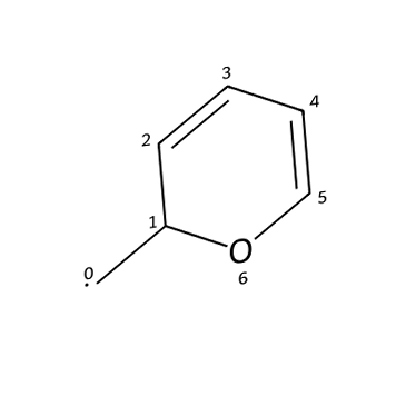 [CH2]C1C=CC=CO1